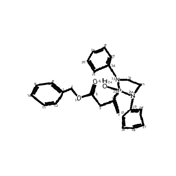 C=C(CC(=O)OCc1ccccc1)[P]1(O)N(c2ccccc2)CCN1c1ccccc1